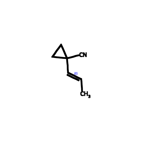 C/C=C/C1(C#N)CC1